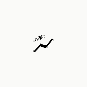 CC=CC.[C-]#[O+]